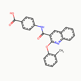 Cc1ccccc1Oc1nc2ccccc2cc1C(=O)Nc1ccc(C(=O)O)cc1